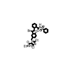 CCNC(=O)c1c(Cl)nc(CC)n1Cc1ccc2oc(-c3ccccc3C(=O)NS(=O)(=O)c3ccccc3)c(Br)c2c1